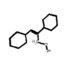 CC(C)O[SiH2]C(=CC1CCCCC1)C1CCCCC1